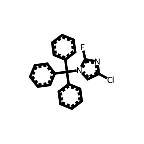 Fc1nc(Cl)cn1C(c1ccccc1)(c1ccccc1)c1ccccc1